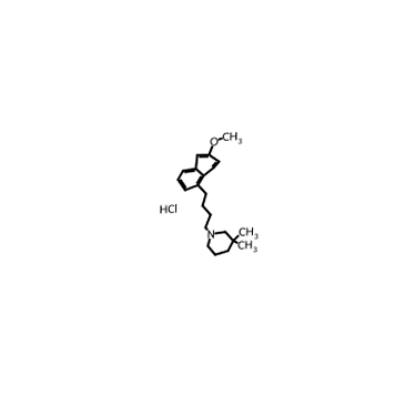 COc1ccc2c(CCCCN3CCCC(C)(C)C3)cccc2c1.Cl